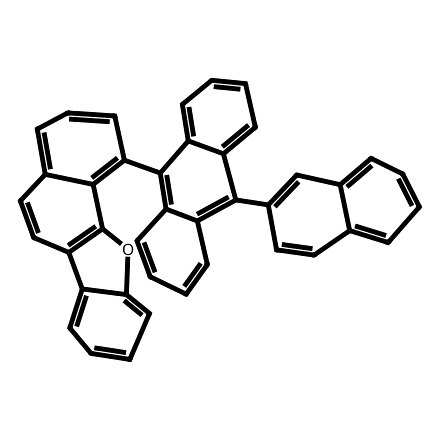 c1ccc2cc(-c3c4ccccc4c(-c4cccc5ccc6c7ccccc7oc6c45)c4ccccc34)ccc2c1